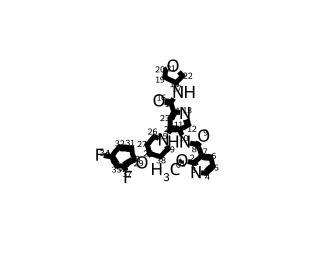 COc1ncccc1C(=O)Nc1cnc(C(=O)NC2CCOC2)cc1N1CCC(Oc2ccc(F)cc2F)CC1